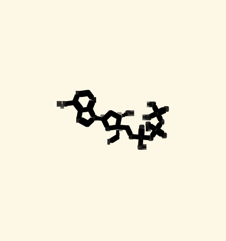 Nc1ncnc2c1ncn2[C@H]1C[C@H](O)[C@@](CF)(COP(=O)(O)OP(=O)(O)OP(=O)(O)O)O1